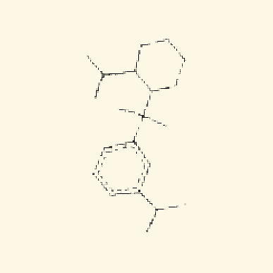 CC(C)c1cccc(C(C)(C)C2CCCCC2C(C)C)c1